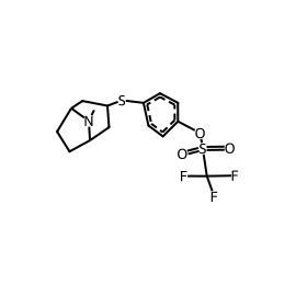 CN1C2CCC1CC(Sc1ccc(OS(=O)(=O)C(F)(F)F)cc1)C2